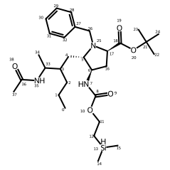 CCCC(C[C@H]1[C@H](NC(=O)OCC[SiH](C)C)C[C@H](C(=O)OC(C)(C)C)N1Cc1ccccc1)C(C)NC(C)=O